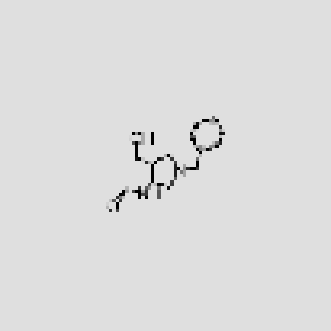 O=CNC1CN(Cc2ccccc2)C[C@@H]1CO